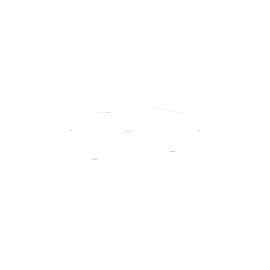 C1=CCCC([SiH]2CCCCO2)=C1